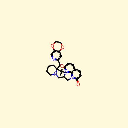 CC(C)(C)C1(Cc2cc3c(cn2)OCCO3)C[CH]CCN1CC1Cn2c(=O)ccc3ccc(=O)n1c32